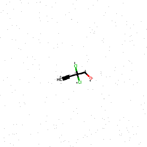 C#CC(Cl)(Cl)C[O]